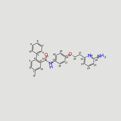 Cc1ccc(-c2ccccc2)c(C(=O)Nc2ccc(OCCc3cccc(N)n3)cc2)c1